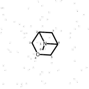 CN1C2COCC1C2